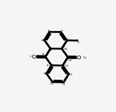 CC1=CC=CC2C(=O)c3ccccc3C(=O)C12